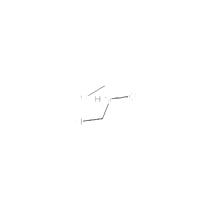 CCl.ClC[SiH2]Cl